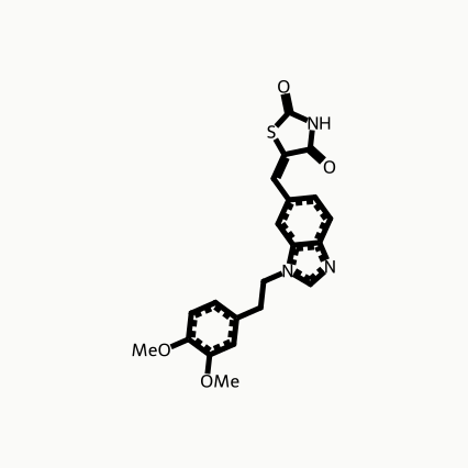 COc1ccc(CCn2cnc3ccc(C=C4SC(=O)NC4=O)cc32)cc1OC